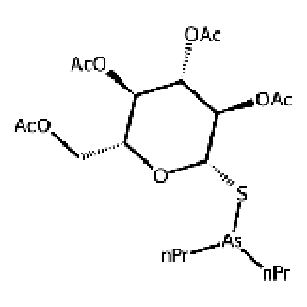 CCC[As](CCC)S[C@@H]1O[C@H](COC(C)=O)[C@@H](OC(C)=O)[C@H](OC(C)=O)[C@H]1OC(C)=O